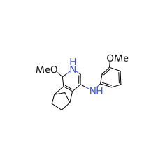 COc1cccc(NC2=CNC(OC)C3=C2C2CCC3C2)c1